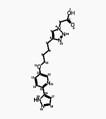 O=C(O)Cn1cc(CCCCOc2ccc(-c3ccn[nH]3)nc2)nn1